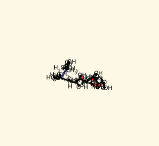 CC[N+]1=C(/C=C/C=C/C=C2/N(CCCCCC(=O)NCCCC[C@@H]3CC(=O)CSC[C@@H](C(=O)N[C@@H](CCCNC(=N)N)C(=O)CCC(=O)N[C@@H](CC(=O)O)C(=O)C[C@H]4CSSC[C@@H](C(=O)NCC(=O)O)CC(=O)[C@H](Cc5ccccc5)NC4=O)CC(=O)[C@H](CC(=O)O)NC3=O)c3ccc(S(=O)(=O)O)cc3C2(C)C)C(C)(C)c2cc(S(=O)(=O)O)ccc21